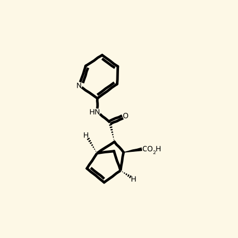 O=C(Nc1ccccn1)[C@@H]1[C@@H](C(=O)O)[C@H]2C=C[C@@H]1C2